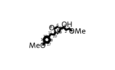 COCC[C@@H](O)[C@@H]1CC(=O)N(CCc2ccc(OC)cc2)C1